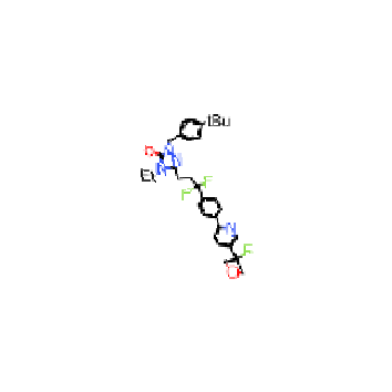 CCn1c(CCC(F)(F)c2ccc(-c3ccc(C4(F)COC4)cn3)cc2)nn(Cc2ccc(C(C)(C)C)cc2)c1=O